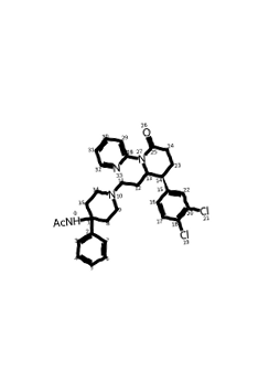 CC(=O)NC1(c2ccccc2)CCN(CCC2[C@H](c3ccc(Cl)c(Cl)c3)CCC(=O)N2c2ccccn2)CC1